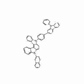 c1ccc(-n2c3ccccc3c3ccc(-c4ccc(-n5c6ccccc6c6c7c8ccccc8n(-c8ccc9ccccc9c8)c7ccc65)cc4)cc32)cc1